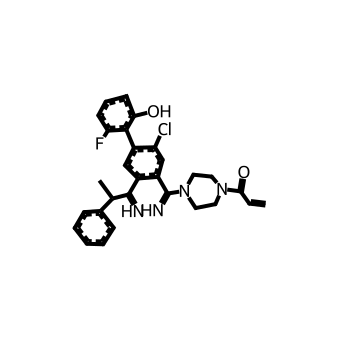 C=CC(=O)N1CCN(C(=N)c2cc(Cl)c(-c3c(O)cccc3F)cc2C(=N)C(C)c2ccccc2)CC1